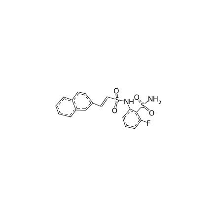 NS(=O)(=O)c1c(F)cccc1NS(=O)(=O)/C=C/c1ccc2ccccc2c1